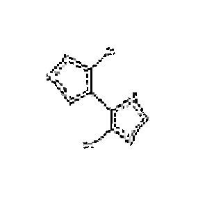 CCc1[c]scc1-c1sccc1CC